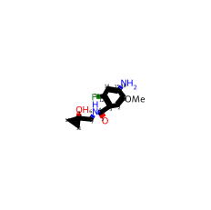 COc1cc(C(=O)NCC2(O)CC2)c(F)cc1N